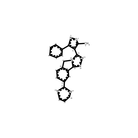 Cc1onc(-c2ccccc2)c1-c1nnc2n1Cc1ccc(-c3ncccn3)cc1-2